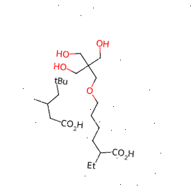 CC(CC(=O)O)CC(C)(C)C.CCC(CCCCOCC(CO)(CO)CO)C(=O)O